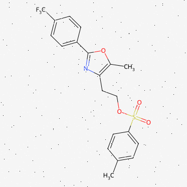 Cc1ccc(S(=O)(=O)OCCc2nc(-c3ccc(C(F)(F)F)cc3)oc2C)cc1